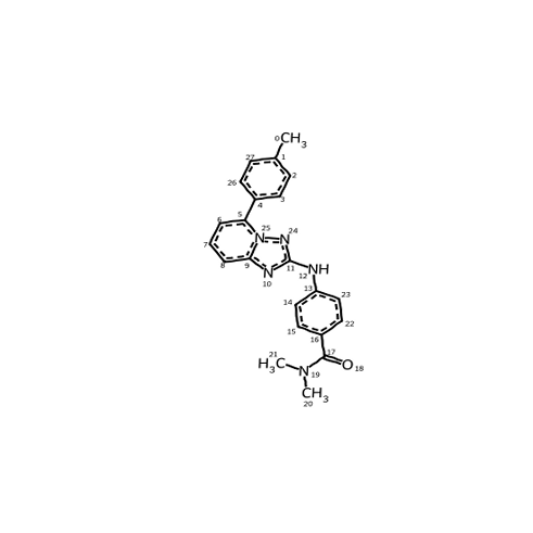 Cc1ccc(-c2cccc3nc(Nc4ccc(C(=O)N(C)C)cc4)nn23)cc1